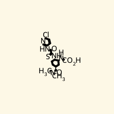 CN(C)C(=O)[C@H]1CC[C@H](NC(=S)C(=O)Nc2ccc(Cl)nc2)[C@H](NC(=O)O)C1